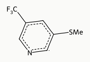 CSc1[c]ncc(C(F)(F)F)c1